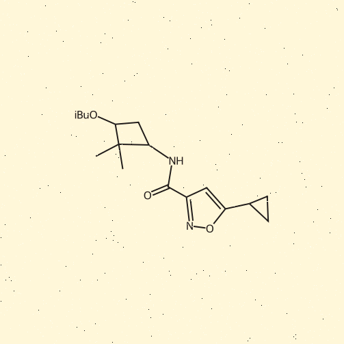 CC(C)COC1CC(NC(=O)c2cc(C3CC3)on2)C1(C)C